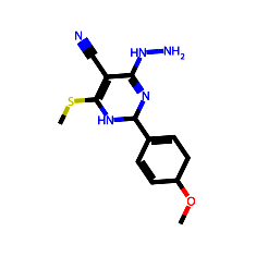 COC1C=CC(C2N=C(NN)C(C#N)=C(SC)N2)=CC1